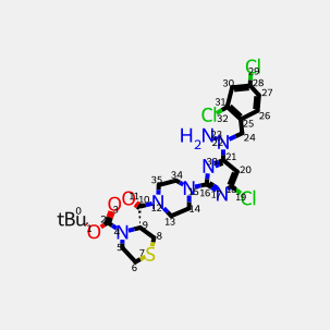 CC(C)(C)OC(=O)N1CCSC[C@H]1C(=O)N1CCN(c2nc(Cl)cc(N(N)Cc3ccc(Cl)cc3Cl)n2)CC1